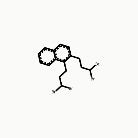 BrC(Br)CCc1ccc2ccccc2c1CCC(Br)Br